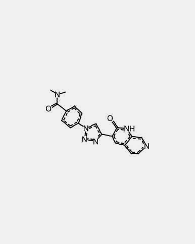 CN(C)C(=O)c1ccc(-n2cc(-c3cc4ccncc4[nH]c3=O)nn2)cc1